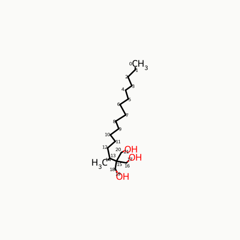 CCCCCCCCCCCCCC(C)C(CO)(CO)CO